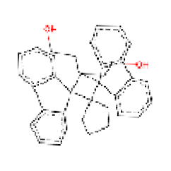 OCCCC1(C2(C3(CCCO)c4ccccc4-c4ccccc43)CCCC2)c2ccccc2-c2ccccc21